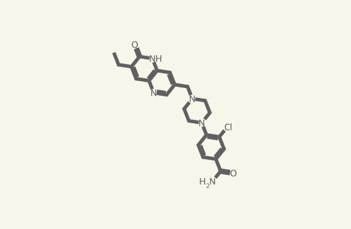 CCc1cc2ncc(CN3CCN(c4ccc(C(N)=O)cc4Cl)CC3)cc2[nH]c1=O